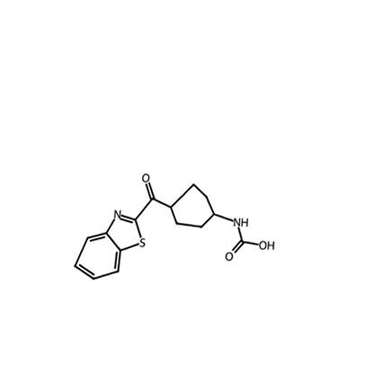 O=C(O)NC1CCC(C(=O)c2nc3ccccc3s2)CC1